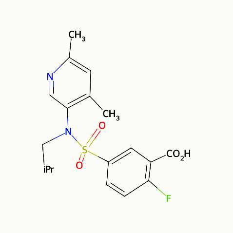 Cc1cc(C)c(N(CC(C)C)S(=O)(=O)c2ccc(F)c(C(=O)O)c2)cn1